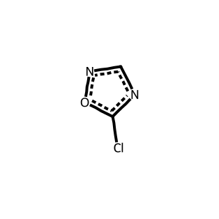 Clc1ncno1